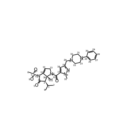 CC(C)[C@H]1C(=O)N(S(C)(=O)=O)C2=CCN(C(=O)c3cc(CN4CCN(c5ccccc5)CC4)nn3C)[C@@H]21